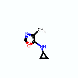 Cc1ncoc1NC1CC1